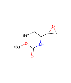 CC(C)CC(NC(=O)OC(C)(C)C)C1CO1